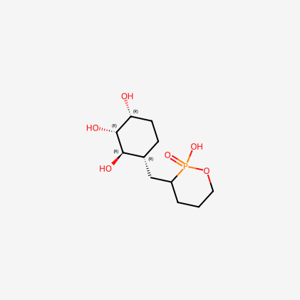 O=P1(O)OCCCC1C[C@H]1CC[C@@H](O)[C@@H](O)[C@@H]1O